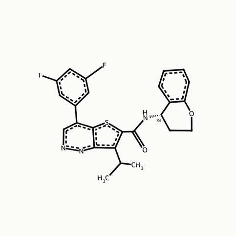 CC(C)c1c(C(=O)N[C@H]2CCOc3ccccc32)sc2c(-c3cc(F)cc(F)c3)cnnc12